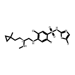 CN[C@@H](CCC1(C)CC1)CNc1cc(F)c(S(=O)(=O)Nc2ncc(F)s2)cc1Cl